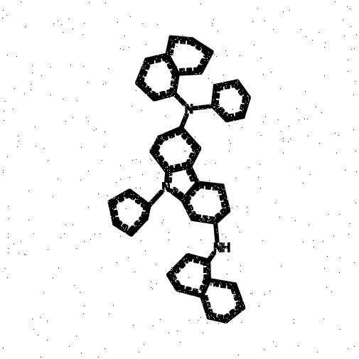 c1ccc(N(c2ccc3c(c2)c2ccc(Nc4cccc5ccccc45)cc2n3-c2ccccc2)c2cccc3ccccc23)cc1